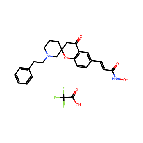 O=C(C=Cc1ccc2c(c1)C(=O)CC1(CCCN(CCc3ccccc3)C1)O2)NO.O=C(O)C(F)(F)F